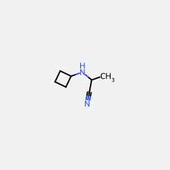 CC(C#N)NC1CCC1